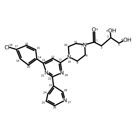 O=C(CC(O)CO)N1CCN(c2cc(-c3ccc(Cl)cc3)nc(-c3cccnc3)n2)CC1